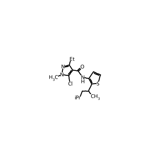 CCc1nn(C)c(Cl)c1C(=O)Nc1ccsc1C(C)CC(C)C